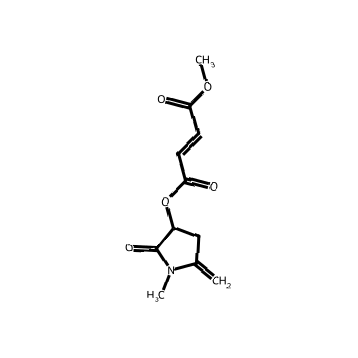 C=C1CC(OC(=O)/C=C/C(=O)OC)C(=O)N1C